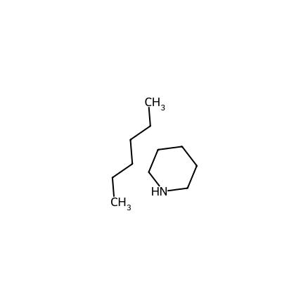 C1CCNCC1.CCCCCC